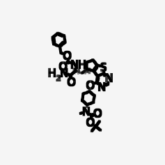 CN(C(=O)OC(C)(C)C)[C@H]1CC[C@H](Oc2ncnc3sc4c(c23)[C@@H](C[C@@H](NC(=O)OCc2ccccc2)C(N)=O)CC4)CC1